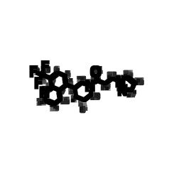 C[C@@H]1CC(c2ccc(C(F)(F)F)c3ncccc23)CN(C(=O)CCn2cccn2)C1